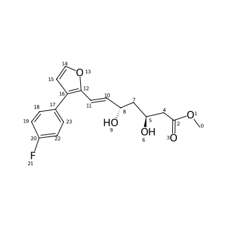 COC(=O)C[C@@H](O)C[C@H](O)C=Cc1occc1-c1ccc(F)cc1